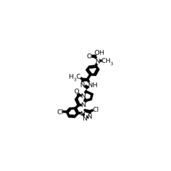 Cc1nc([C@@H]2CCc3nc(-c4cc(Cl)ccc4-n4cc(Cl)nn4)cc(=O)n32)[nH]c1-c1ccc(N(C)C(=O)O)cc1